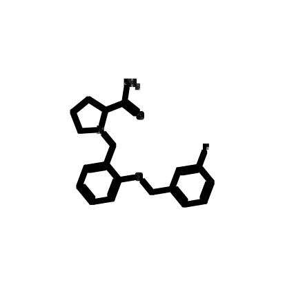 NC(=O)C1CCCN1Cc1ccccc1OCc1cccc(F)c1